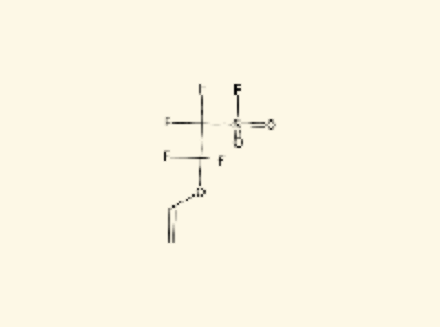 C=COC(F)(F)C(F)(F)S(=O)(=O)F